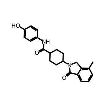 Cc1cccc2c1CN(C1CCC(C(=O)Nc3ccc(O)cc3)CC1)C2=O